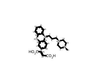 CN1CCN(CCCN2c3ccccc3Sc3ccccc32)CC1.O=C(O)C=CC(=O)O